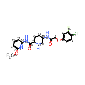 O=C(COc1ccc(Cl)c(F)c1)NC1CCC(C(=O)Nc2cccc(OC(F)(F)F)n2)NC1